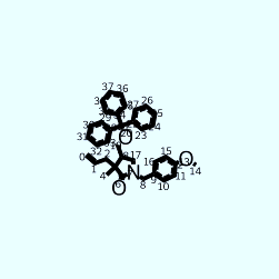 C=CCC1(C)C(=O)N(Cc2ccc(OC)cc2)CC1COC(c1ccccc1)(c1ccccc1)c1ccccc1